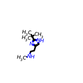 CNCCc1c[nH]c(C(C)(C)C)n1